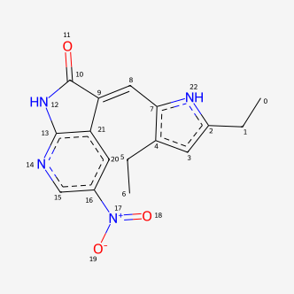 CCc1cc(CC)c(C=C2C(=O)Nc3ncc([N+](=O)[O-])cc32)[nH]1